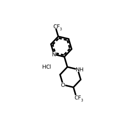 Cl.FC(F)(F)c1ccc(C2COC(C(F)(F)F)CN2)nc1